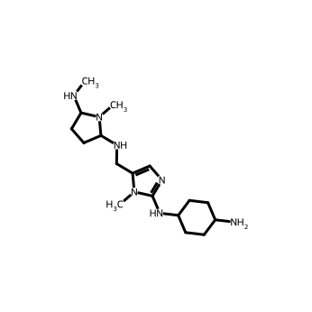 CNC1CCC(NCc2cnc(NC3CCC(N)CC3)n2C)N1C